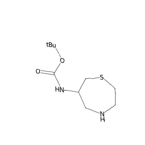 CC(C)(C)OC(=O)NC1CNCCSC1